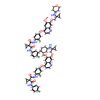 COc1cc2c(Oc3ccc(NC(=O)C4(C(=O)Nc5ccc(F)c(C6CCC(NC7(COc8cc9nccc(Oc%10ccc(NC(=O)C%11(C(=O)Nc%12ccc(F)cc%12)CC%11)c(F)c%10)c9cc8OC)CC7)CC6)c5)CC4)c(F)c3)ccnc2cc1OCC1(NC2CCOCC2)CC1